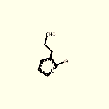 CC(C)(C)c1ccccc1CCC=O